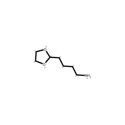 NCCCCC1OCCO1